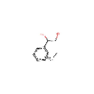 CCOC(C)=O.OCC(O)c1ccccc1